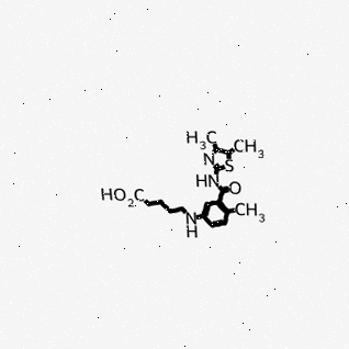 Cc1ccc(NCCCCC(=O)O)cc1C(=O)NC1=NC(C)C(C)S1